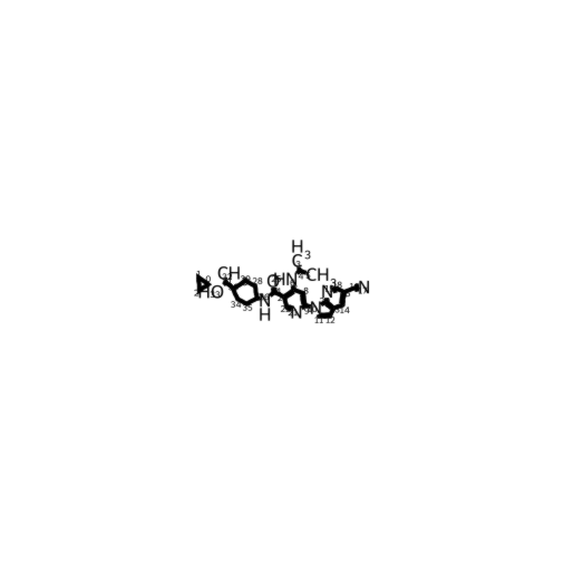 C1CC1.CC(C)Nc1cc(-n2ccc3cc(C#N)cnc32)ncc1C(=O)NC1CCC(C(C)O)CC1